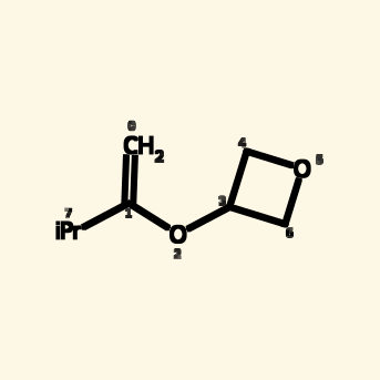 C=C(OC1COC1)C(C)C